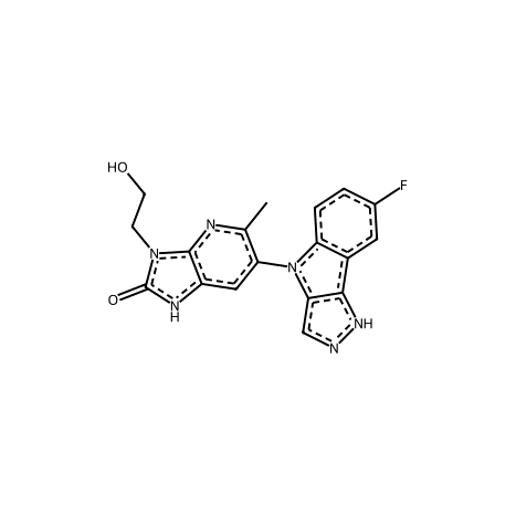 Cc1nc2c(cc1-n1c3ccc(F)cc3c3[nH]ncc31)[nH]c(=O)n2CCO